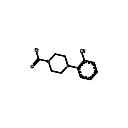 CCC(=O)N1CCN(c2ccccc2C#N)CC1